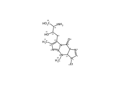 CCN1C=NC2C(=O)n3c(nc(C)c3CC(O)C(N)C(=O)O)N(C)C21